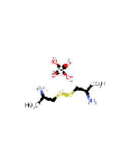 NC(CSSCC(N)C(=O)O)C(=O)O.O=[Se](=O)(O)O